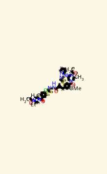 C=CC(=O)N1CCN(C(=O)c2cc(Sc3cnc(NC(=O)C4CC4Cc4cc(OC)c(C(=O)N5CCCN(C(=O)C=C)[C@H](C)C5)cc4Sc4cnc(Nc5ccccn5)s4)s3)c(Cl)cc2C)C[C@H]1CC